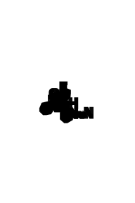 N#CCCCNc1ccccc1CN1CCC2(CC1)C(NC1CCCCC1)=NC(=O)N2c1cccc(F)c1